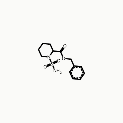 NS(=O)(=O)N1CCCCC1C(=O)OCc1ccccc1